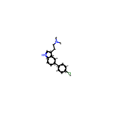 CN(C)CCc1c[nH]c2ccc(-c3ccc(Cl)cc3)cc12